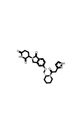 O=C1CCC(N2Cc3cc(OC[C@H]4CCCCN4C(=O)Cc4cc[nH]n4)ccc3C2=O)C(=O)N1